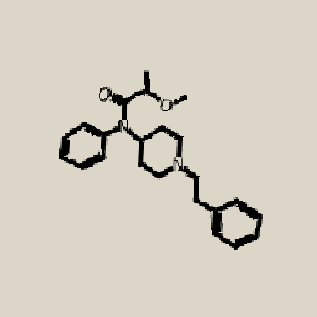 COC(C)C(=O)N(c1ccccc1)C1CCN(CCc2ccccc2)CC1